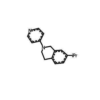 CC(C)c1ccc2c(c1)CN(c1ccncc1)CC2